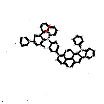 Fc1cc(-c2ccccc2)cc(-c2ccccc2)c1N(c1ccccc1)c1ccc(-c2ccc3ccc4cc5c6ccccc6n(-c6ccccc6)c5c5ccc2c3c45)cc1